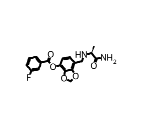 C[C@H](NCc1ccc(OC(=O)c2cccc(F)c2)c2c1OCO2)C(N)=O